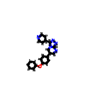 c1ccc(Oc2ccc(-c3cnc4nnc(-c5ccncc5)n4c3)cc2)cc1